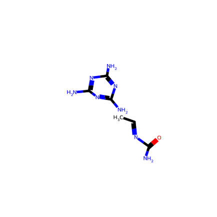 CC=NC(N)=O.Nc1nc(N)nc(N)n1